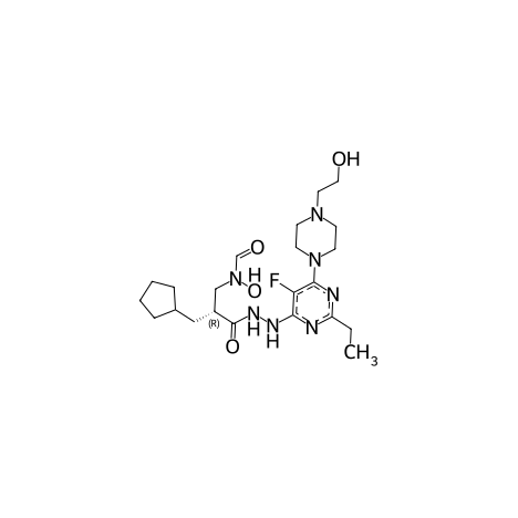 CCc1nc(NNC(=O)[C@H](CC2CCCC2)CN(O)C=O)c(F)c(N2CCN(CCO)CC2)n1